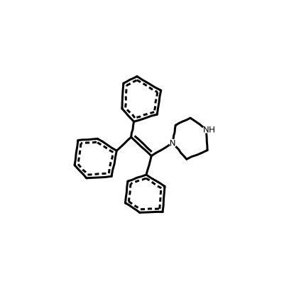 c1ccc(C(=C(c2ccccc2)N2CCNCC2)c2ccccc2)cc1